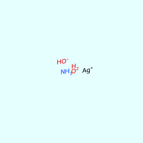 N.O.[Ag+].[OH-]